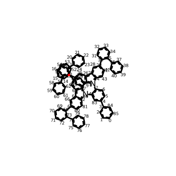 c1ccc(-c2ccc(-n3c4ccc(-c5ccccc5-c5ccccc5)cc4c4cc(-c5ccccc5-c5ccccc5)ccc43)c(-n3c4ccc(-c5ccccc5-c5ccccc5)cc4c4cc(-c5ccccc5-c5ccccc5)ccc43)c2)cc1